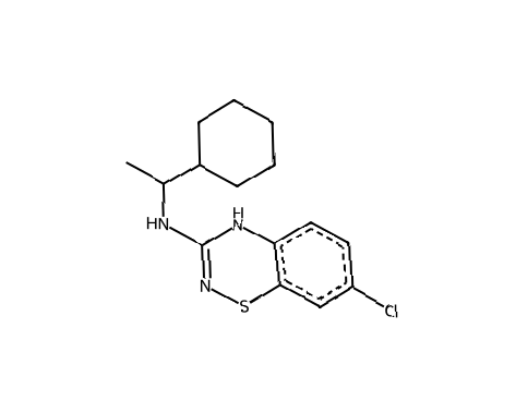 CC(NC1=NSc2cc(Cl)ccc2N1)C1CCCCC1